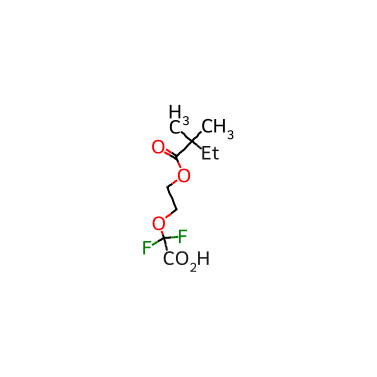 CCC(C)(C)C(=O)OCCOC(F)(F)C(=O)O